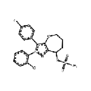 CS(=O)(=O)NC1CCCOc2c1nn(-c1ccccc1Cl)c2-c1ccc(Cl)cc1